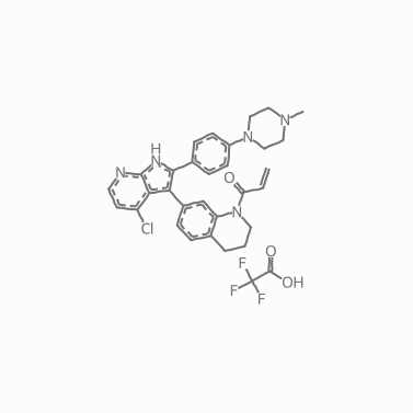 C=CC(=O)N1CCCc2ccc(-c3c(-c4ccc(N5CCN(C)CC5)cc4)[nH]c4nccc(Cl)c34)cc21.O=C(O)C(F)(F)F